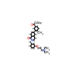 COC(=O)c1ccc(C)c(-c2ccc3c(=O)n(Cc4cccc(OCCCN(C)C)c4)ccc3c2)c1